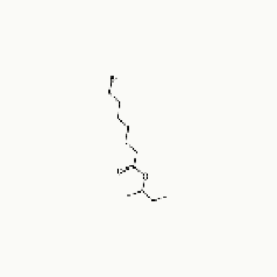 CCC(C)OC(=O)CCCCCCBr